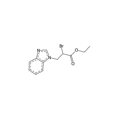 CCOC(=O)C(Br)Cn1cnc2ccccc21